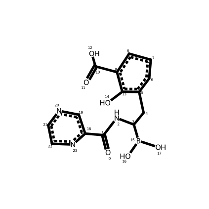 O=C(NC(Cc1cccc(C(=O)O)c1O)B(O)O)c1cnccn1